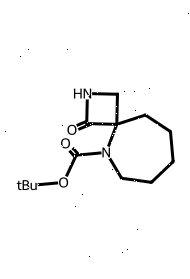 CC(C)(C)OC(=O)N1CCCCCC12CNC2=O